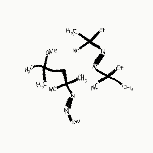 CCC(C)(C#N)N=NC(C)(C#N)CC.COC(C)(C)CC(C)(C#N)N=NC(C)(C)C